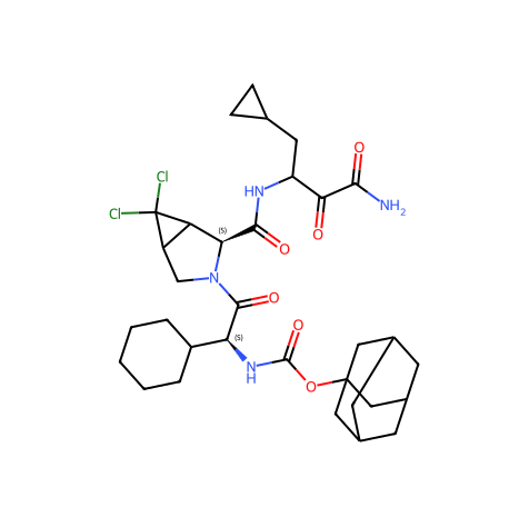 NC(=O)C(=O)C(CC1CC1)NC(=O)[C@@H]1C2C(CN1C(=O)[C@@H](NC(=O)OC13CC4CC(CC(C4)C1)C3)C1CCCCC1)C2(Cl)Cl